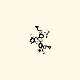 O=C(OC(Cc1c(Cl)cncc1Cl)c1ccc(OC(F)F)c(OCC2CC2)c1)c1ccc([N+](=O)[O-])c(OCC2CC2)c1